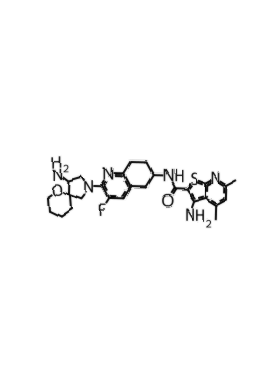 Cc1cc(C)c2c(N)c(C(=O)NC3CCc4nc(N5CC(N)C6(CCCCO6)C5)c(F)cc4C3)sc2n1